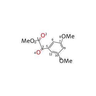 COC(=O)C(=O)c1cc(OC)cc(OC)c1